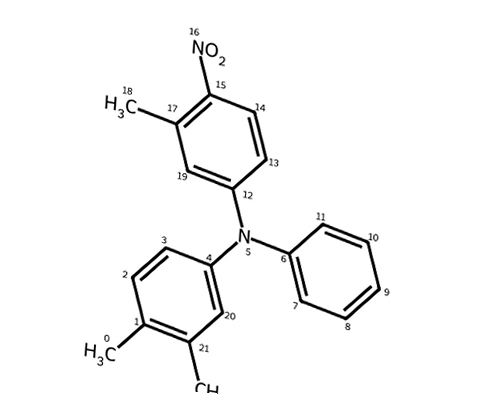 Cc1ccc(N(c2ccccc2)c2ccc([N+](=O)[O-])c(C)c2)cc1C